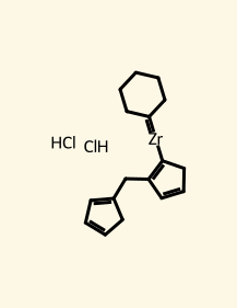 C1=CCC(CC2=[C]([Zr]=[C]3CCCCC3)CC=C2)=C1.Cl.Cl